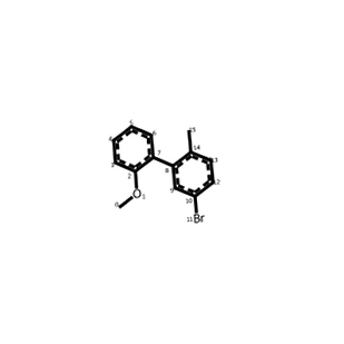 COc1ccccc1-c1cc(Br)c[c]c1C